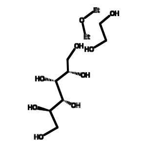 CCOCC.OCCO.OC[C@@H](O)[C@@H](O)[C@H](O)[C@@H](O)CO